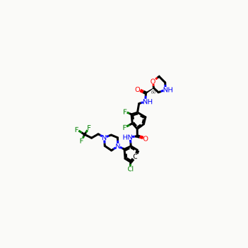 O=C(Nc1ccc(Cl)cc1N1CCN(CCC(F)(F)F)CC1)c1ccc(CNC(=O)[C@@H]2CNCCO2)c(F)c1F